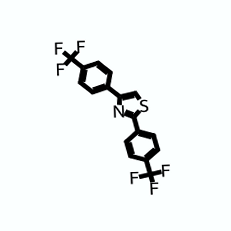 FC(F)(F)c1ccc(-c2csc(-c3ccc(C(F)(F)F)cc3)n2)cc1